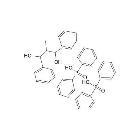 CC(C(O)c1ccccc1)C(O)c1ccccc1.O=P(O)(c1ccccc1)c1ccccc1.O=P(O)(c1ccccc1)c1ccccc1